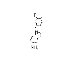 Nc1ccc2c(ccn2Cc2ccc(F)c(F)c2)c1